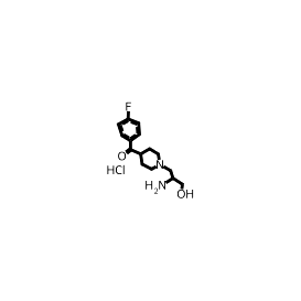 Cl.NC(CO)CN1CCC(C(=O)c2ccc(F)cc2)CC1